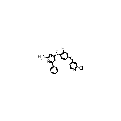 Nc1nc(Nc2ccc(Oc3ccnc(Cl)c3)cc2F)cc(-c2ccccc2)n1